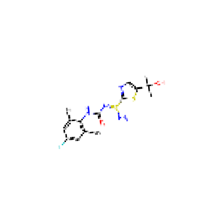 CC(C)c1cc(F)cc(C(C)C)c1NC(=O)/N=S(\N)c1ncc(C(C)(C)O)s1